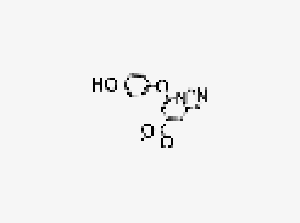 COC(=O)c1cc(Oc2ccc(O)cc2)n2cncc2c1